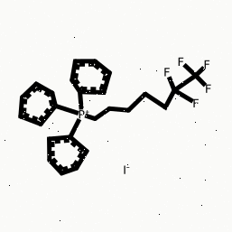 FC(F)(F)C(F)(F)CCCCC[P+](c1ccccc1)(c1ccccc1)c1ccccc1.[I-]